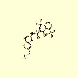 CCc1ccc2ncc(NC(=O)NC(=O)c3c(C(F)(F)F)cccc3C(F)(F)F)nc2c1